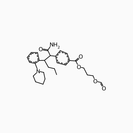 CCCC(c1ccccc1N1CCCCC1)C(C(N)=O)c1ccc(C(=O)OCCCOC=O)cc1